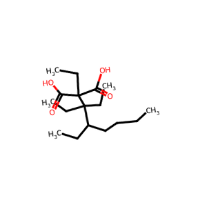 CCCCC(CC)C(CC)(CC)C(CC)(C(=O)O)C(=O)O